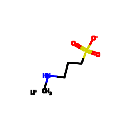 CNCCCS(=O)(=O)[O-].[Li+]